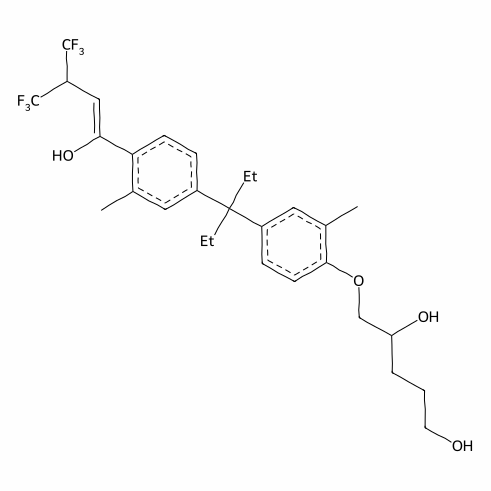 CCC(CC)(c1ccc(OCC(O)CCCO)c(C)c1)c1ccc(C(O)=CC(C(F)(F)F)C(F)(F)F)c(C)c1